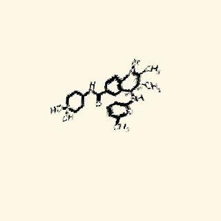 CC(=O)N1c2ccc(C(=O)NC3CCS(O)(O)CC3)cc2[C@H](Nc2cccc(C)n2)[C@@H](C)[C@@H]1C